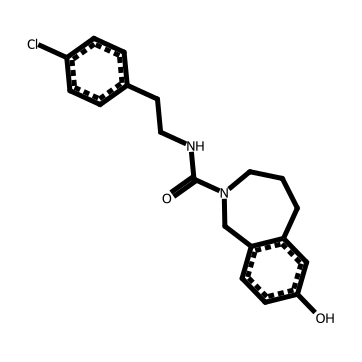 O=C(NCCc1ccc(Cl)cc1)N1CCCc2cc(O)ccc2C1